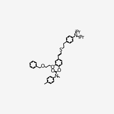 Cc1ccc(N(C)C(=O)Oc2ccc(/C=C/SCCc3ccc(N(C(C)C)C(C)C)cc3)cc2OCCOCc2ccccc2)cc1